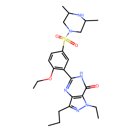 CCCc1nn(CC)c2c(=O)[nH]c(-c3cc(S(=O)(=O)N4CC(C)NC(C)C4)ccc3OCC)nc12